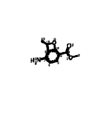 COC(=O)c1ccc(N)c2c1OC2C